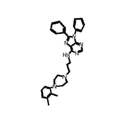 Cc1cccc(N2CCN(CCCNc3ncnc4c3nc(-c3ccccc3)n4-c3ccccc3)CC2)c1C